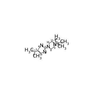 CC(C)c1cnc(N2CCN(C(C)(C)C)CC2)nc1